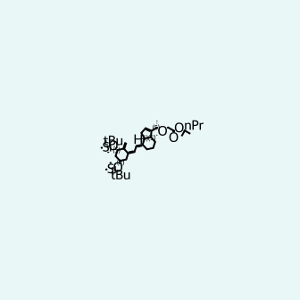 C=C1C(=CC=C2CCC[C@]3(C)C([C@H](C)OCC(=O)OC(C)(C)CCC)=CC[C@@H]23)C[C@@H](O[Si](C)(C)C(C)(C)C)C[C@@H]1O[Si](C)(C)C(C)(C)C